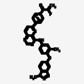 C=C(F)C(=O)N1CC2CCC1CN2c1ccc2ncnc(Nc3ccc(Oc4ccc5c(c4)nnn5C)c(C)c3)c2n1